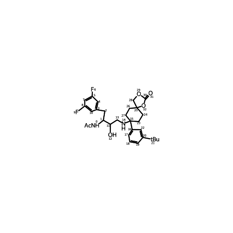 CC(=O)NC(Cc1cc(F)cc(F)c1)C(O)CNC1(c2cccc(C(C)(C)C)c2)CCC2(CC1)COC(=O)O2